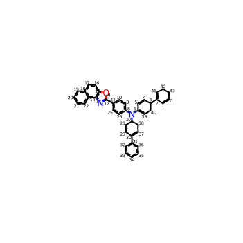 C1=CC(C2C=CC(N(c3ccc(-c4nc5c(ccc6ccccc65)o4)cc3)C3C=CC(c4ccccc4)=CC3)=CC2)=CCC1